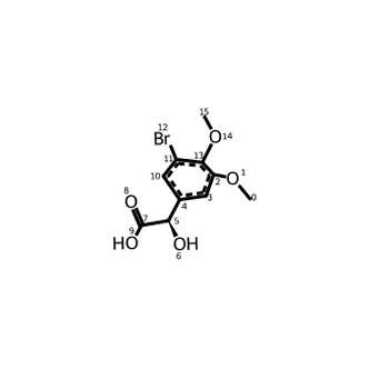 COc1cc([C@@H](O)C(=O)O)cc(Br)c1OC